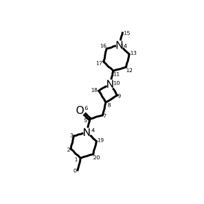 CC1CCN(C(=O)CC2CN(C3CCN(C)CC3)C2)CC1